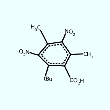 Cc1c(C(=O)O)c(C(C)(C)C)c([N+](=O)[O-])c(C)c1[N+](=O)[O-]